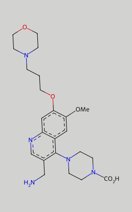 COc1cc2c(N3CCN(C(=O)O)CC3)c(CN)cnc2cc1OCCCN1CCOCC1